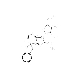 CCCCNC1N=C2C(=NC=NC2(O)Cc2ccccc2)N1[C@@H]1O[C@H](CO)[C@@H](O)[C@H]1S